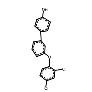 Oc1ccc(-c2cccc(Oc3ccc(Cl)cc3Cl)c2)cc1